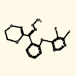 CO/N=C(\C1=NOCCO1)c1ccccc1Oc1ncnc(I)c1F